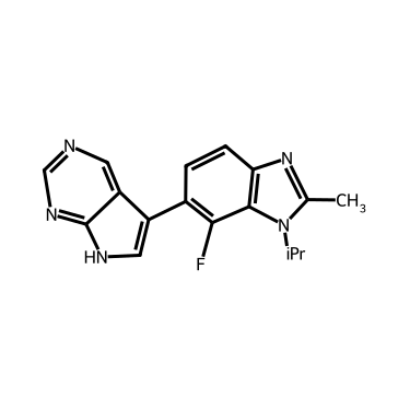 Cc1nc2ccc(-c3c[nH]c4ncncc34)c(F)c2n1C(C)C